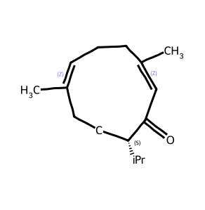 C/C1=C/C(=O)[C@H](C(C)C)CC/C(C)=C\CC1